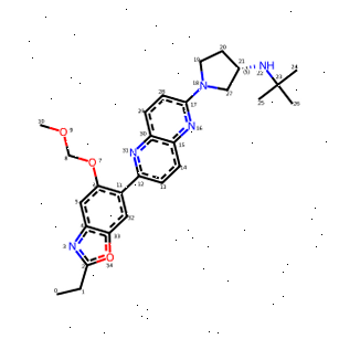 CCc1nc2cc(OCOC)c(-c3ccc4nc(N5CC[C@H](NC(C)(C)C)C5)ccc4n3)cc2o1